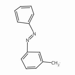 [CH2]c1cccc(N=Nc2ccccc2)c1